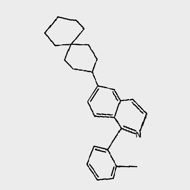 Cc1ccccc1-c1nccc2cc(C3CCC4(CCCCC4)CC3)ccc12